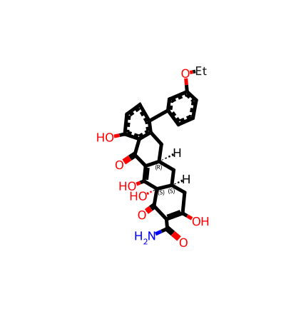 CCOc1cccc(-c2ccc(O)c3c2C[C@H]2C[C@H]4CC(O)=C(C(N)=O)C(=O)[C@@]4(O)C(O)=C2C3=O)c1